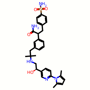 Cc1ccc(C)n1-c1ccc([C@@H](O)CNC(C)(C)Cc2cccc(C(Cc3ccc(S(N)(=O)=O)cc3)C(N)=O)c2)cn1